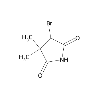 CC1(C)C(=O)NC(=O)C1Br